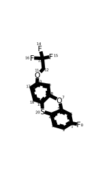 Fc1ccc2c(c1)Oc1cc(OCC(F)(F)F)ccc1S2